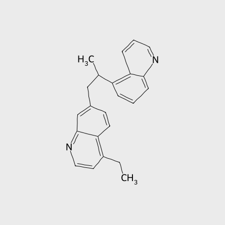 CCc1ccnc2cc(CC(C)c3cccc4ncccc34)ccc12